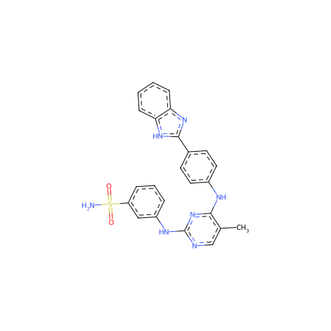 Cc1cnc(Nc2cccc(S(N)(=O)=O)c2)nc1Nc1ccc(-c2nc3ccccc3[nH]2)cc1